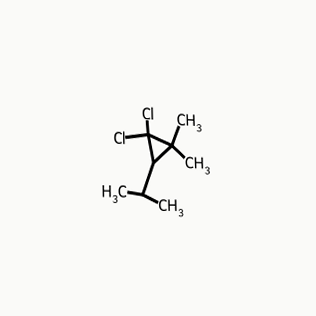 CC(C)C1C(C)(C)C1(Cl)Cl